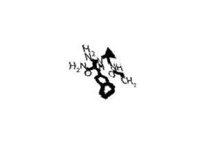 C=CC(=O)NCC1(Cn2nc(C3CCc4ccccc4C3)c(C(N)=O)c2N)CC1